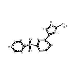 O=S(=O)(c1[c]ccc(-c2noc(C(F)(F)F)n2)c1)c1ccncc1